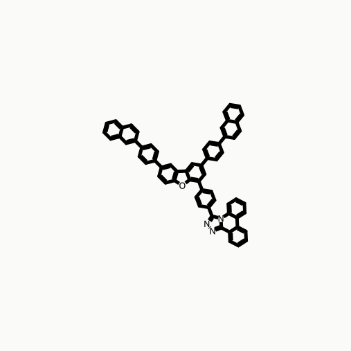 c1ccc2cc(-c3ccc(-c4ccc5oc6c(-c7ccc(-c8nnc9c%10ccccc%10c%10ccccc%10n89)cc7)cc(-c7ccc(-c8ccc9ccccc9c8)cc7)cc6c5c4)cc3)ccc2c1